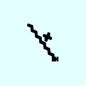 CCCCCCCCCCCCS.[CH3][Sn]([CH3])([CH3])[CH3]